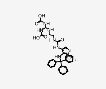 Cn1ncc(NC(=O)NCCNC(NC(=O)O)NC(=O)O)c1NC(c1ccccc1)(c1ccccc1)c1ccccc1